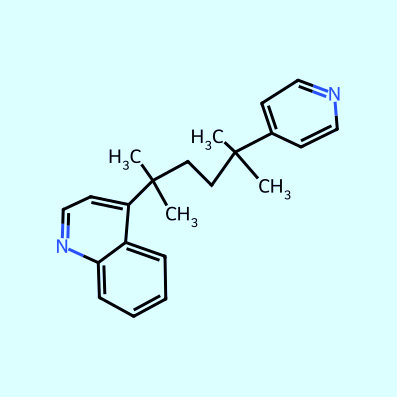 CC(C)(CCC(C)(C)c1ccnc2ccccc12)c1ccncc1